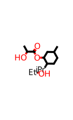 CC1CCC(C(C)C)C(OC(=O)C(C)O)C1.CCO